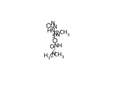 Cc1cc(Nc2ncnc3ccccc23)n(Sc2ccc(NC(=O)CCN(C)C)cc2)n1